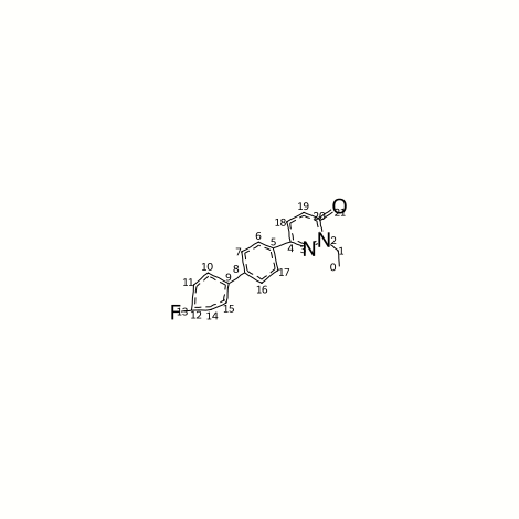 CCn1nc(-c2ccc(-c3ccc(F)cc3)cc2)ccc1=O